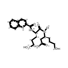 CCCCCCCCCCCCC[C@@H](CC(N)=O)N(CC)C(=O)[C@H](CCCC(=O)O)NC(=O)c1ccc2ccccc2n1